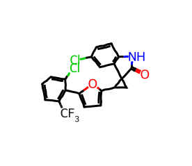 O=C1Nc2ccc(Cl)cc2C12CC2c1ccc(-c2c(Cl)cccc2C(F)(F)F)o1